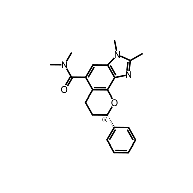 Cc1nc2c3c(c(C(=O)N(C)C)cc2n1C)CC[C@@H](c1ccccc1)O3